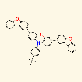 CC(C)(C)c1ccc(N2c3ccc(-c4ccc5oc6ccccc6c5c4)cc3Oc3cc(-c4ccc5oc6ccccc6c5c4)ccc32)cc1